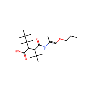 CCCO/C=C(\C)NC(=O)C(C(C(=O)O)C(C)(C)C(C)(C)C)C(C)(C)C